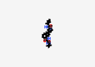 CC(C)(C)c1noc(C(=O)N[C@@H]2CCCCc3cc(-c4ccnc(NC(=O)[C@H]5CC56CCC6)c4)ccc32)n1